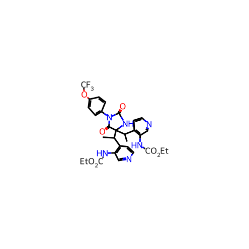 CCOC(=O)Nc1cnccc1C(C)C1(C(C)c2ccncc2NC(=O)OCC)NC(=O)N(c2ccc(OC(F)(F)F)cc2)C1=O